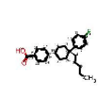 CCCCC[C@]1(c2ccc(F)cc2)CC[C@@H](c2ccc(C(=O)O)cc2)CC1